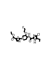 CCOC(=O)c1cnc(N2CCC(NC(=O)c3nc(Cl)c(CC)[nH]3)C(OCCF)C2)s1